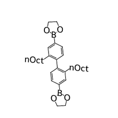 CCCCCCCCc1cc(B2OCCO2)ccc1-c1ccc(B2OCCO2)cc1CCCCCCCC